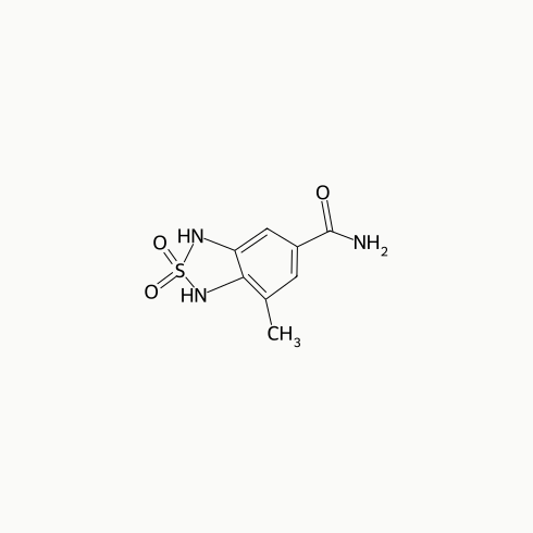 Cc1cc(C(N)=O)cc2c1NS(=O)(=O)N2